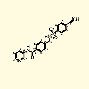 C#Cc1ccc(S(=O)(=O)NCc2ccc(C(=O)Nc3cccnc3)cc2)cc1